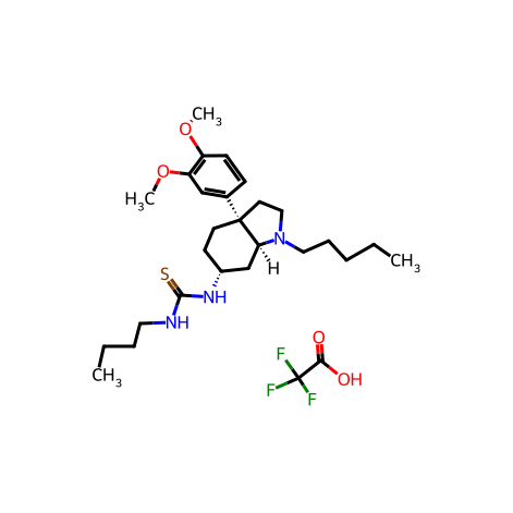 CCCCCN1CC[C@]2(c3ccc(OC)c(OC)c3)CC[C@@H](NC(=S)NCCCC)C[C@H]12.O=C(O)C(F)(F)F